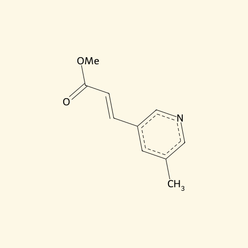 COC(=O)/C=C/c1cncc(C)c1